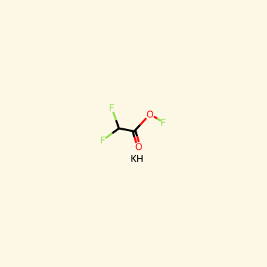 O=C(OF)C(F)F.[KH]